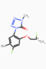 C[C@@H](F)COc1cc(F)c(C(C)(C)C)cc1-n1nnn(C)c1=O